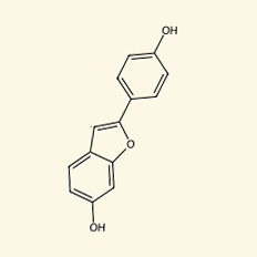 Oc1ccc(-c2[c]c3ccc(O)cc3o2)cc1